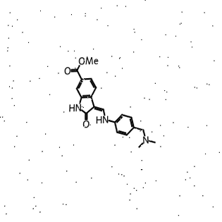 COC(=O)c1ccc2c(c1)NC(=O)C2=CNc1ccc(CN(C)C)cc1